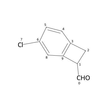 O=CC1Cc2ccc(Cl)cc21